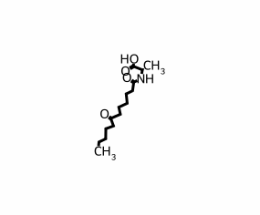 CCCCCC(=O)CCCCCC(=O)N[C@@H](C)C(=O)O